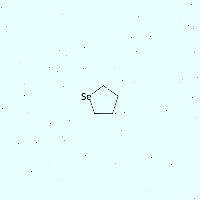 [CH]1CC[Se]C1